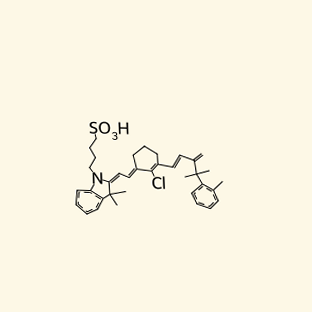 C=C(/C=C/C1=C(Cl)C(=C/C=C2/N(CCCCS(=O)(=O)O)c3ccccc3C2(C)C)/CCC1)C(C)(C)c1ccccc1C